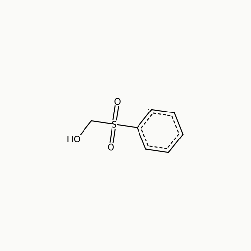 O=S(=O)(CO)c1[c]cccc1